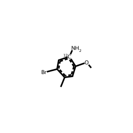 COc1cc(C)c(Br)c[12c]1N